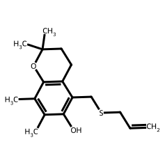 C=CCSCc1c(O)c(C)c(C)c2c1CCC(C)(C)O2